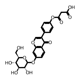 O=C(O)CC(=O)Oc1ccc(-c2coc3cc(OC4O[C@H](CO)[C@@H](O)[C@H](O)[C@H]4O)ccc3c2=O)cc1